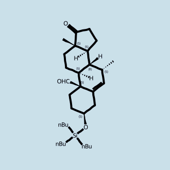 CCCC[Si](CCCC)(CCCC)O[C@H]1CC[C@@]2(C=O)C(=C[C@@H](C)[C@@H]3[C@@H]2CC[C@]2(C)C(=O)CC[C@@H]32)C1